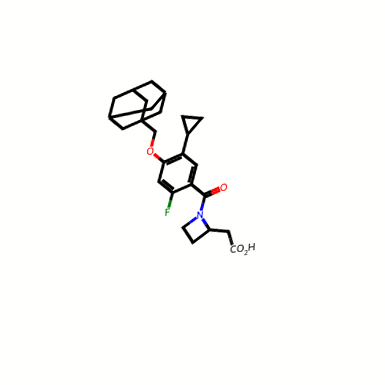 O=C(O)CC1CCN1C(=O)c1cc(C2CC2)c(OCC23CC4CC(CC(C4)C2)C3)cc1F